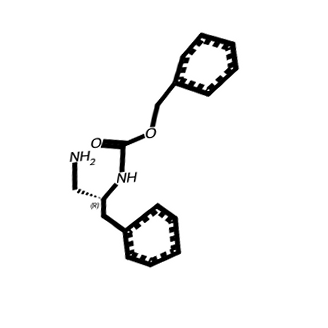 NC[C@@H](Cc1ccccc1)NC(=O)OCc1ccccc1